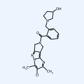 Cc1nc2c3c(nn2c(C)c1Cl)CN(C(=O)c1ccccc1CN1CCC(O)C1)C3